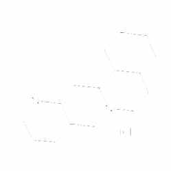 C1=NC2=CC3=C4CCCCC4CCN3CC2CC1.Cl